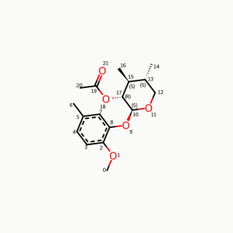 COc1ccc(C)cc1O[C@@H]1OC[C@@H](C)[C@H](C)[C@H]1OC(C)=O